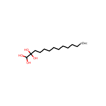 CCCCCCCCCCCCCCCCCCCCC(O)(O)C(O)O